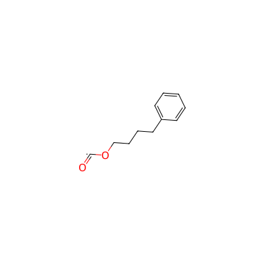 O=[C]OCCCCc1ccccc1